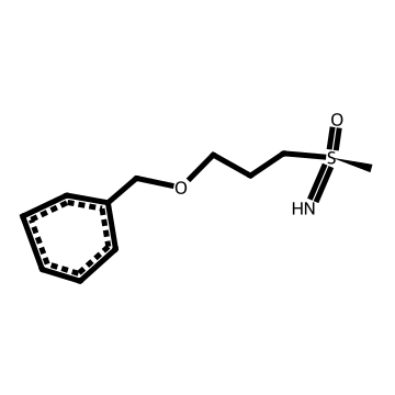 C[S@](=N)(=O)CCCOCc1ccccc1